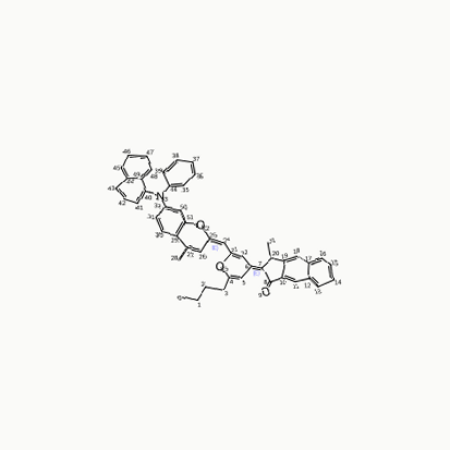 CCCCC1=C/C(=C2\C(=O)c3cc4ccccc4cc3C2C)C=C(/C=C2\C=C(C)c3ccc(N(c4ccccc4)c4cccc5ccccc45)cc3O2)O1